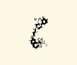 Cc1c(Cl)cccc1N1CCN(CCCCOc2ccc3c(c2)N(C(C)C)C(=O)CC3)CC1